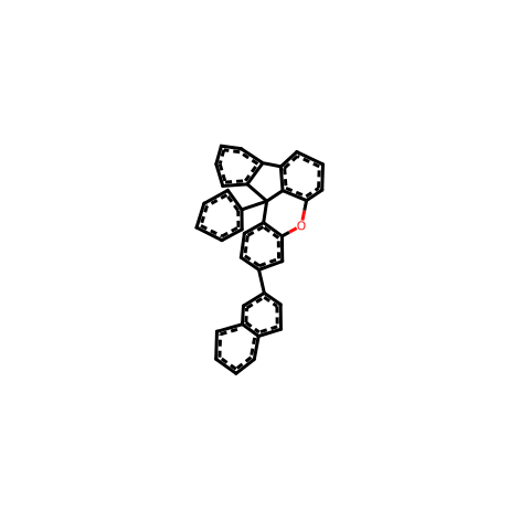 c1ccc(C23c4ccc(-c5ccc6ccccc6c5)cc4Oc4cccc(c42)-c2ccccc23)cc1